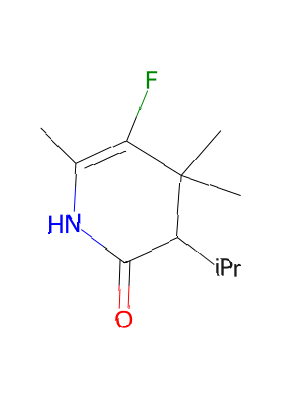 CC1=C(F)C(C)(C)C(C(C)C)C(=O)N1